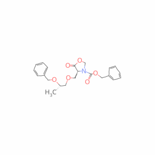 C[C@@H](COC[C@H]1C(=O)OCN1C(=O)OCc1ccccc1)OCc1ccccc1